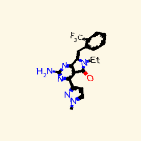 CCN1C(=O)c2c(nc(N)nc2-c2ccn(C)n2)C1=Cc1ccccc1C(F)(F)F